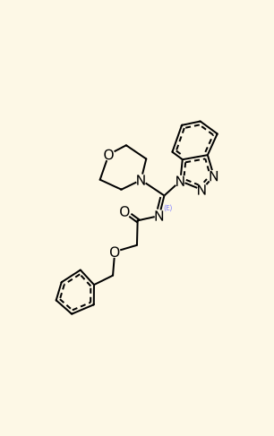 O=C(COCc1ccccc1)/N=C(\N1CCOCC1)n1nnc2ccccc21